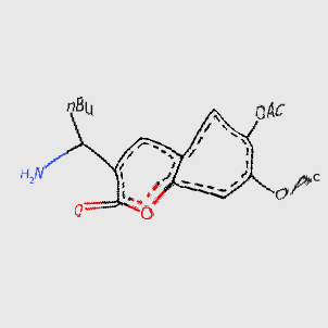 CCCCC(N)c1cc2cc(OC(C)=O)c(OC(C)=O)cc2oc1=O